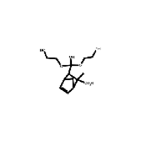 CC1(C(=O)O)C2C=CC(C2)C1C(O)(OCCO)OCCO